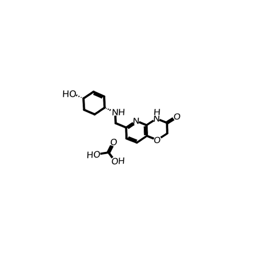 O=C(O)O.O=C1COc2ccc(CN[C@H]3C=C[C@@H](O)CC3)nc2N1